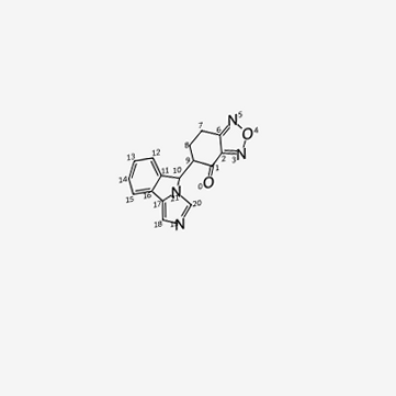 O=C1c2nonc2CCC1C1c2ccccc2-c2cncn21